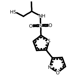 CC(CS)NS(=O)(=O)c1ccc(-c2ccon2)s1